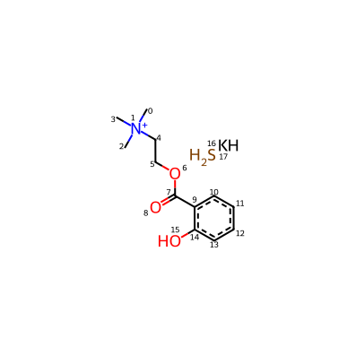 C[N+](C)(C)CCOC(=O)c1ccccc1O.S.[KH]